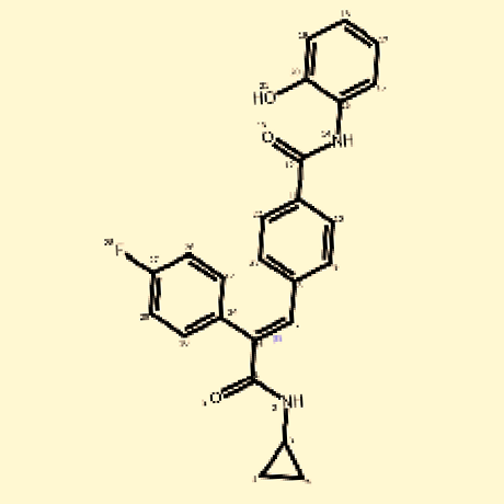 O=C(NC1CC1)/C(=C/c1ccc(C(=O)Nc2ccccc2O)cc1)c1ccc(F)cc1